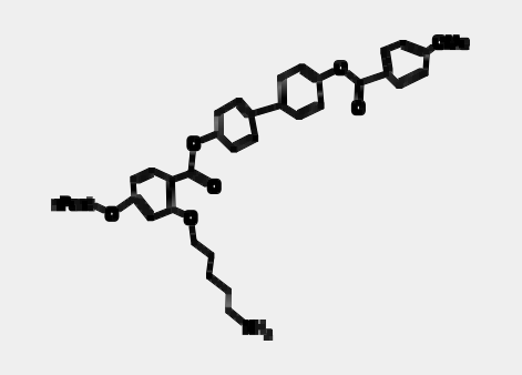 CCCCCOc1ccc(C(=O)Oc2ccc(-c3ccc(OC(=O)c4ccc(OC)cc4)cc3)cc2)c(OCCCCCN)c1